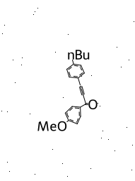 CCCCc1ccc(C#CC(=O)c2ccc(OC)cc2)cc1